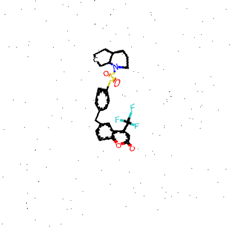 O=c1cc(C(F)(F)F)c2cc(Cc3ccc(S(=O)(=O)N4CCCC5CCCCC54)cc3)ccc2o1